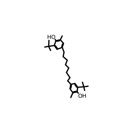 Cc1cc(CCCCCCCCc2cc(C)c(O)c(C(C)(C)C)c2)cc(C(C)(C)C)c1O